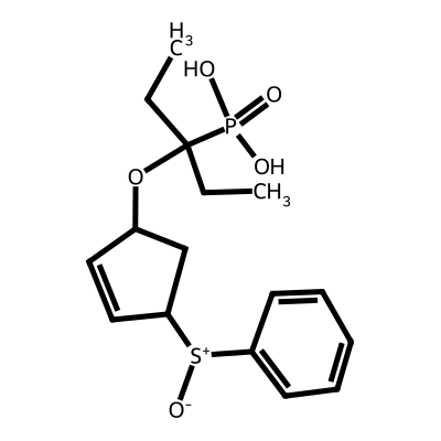 CCC(CC)(OC1C=CC([S+]([O-])c2ccccc2)C1)P(=O)(O)O